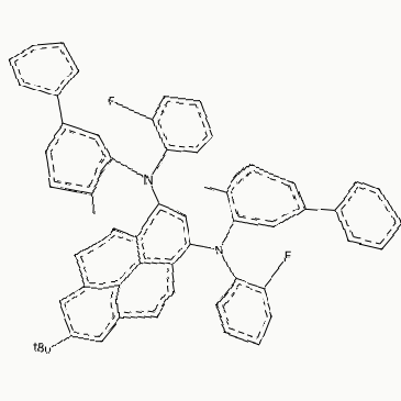 Cc1ccc(-c2ccccc2)cc1N(c1ccccc1F)c1cc(N(c2cc(-c3ccccc3)ccc2C)c2ccccc2F)c2ccc3cc(C(C)(C)C)cc4ccc1c2c43